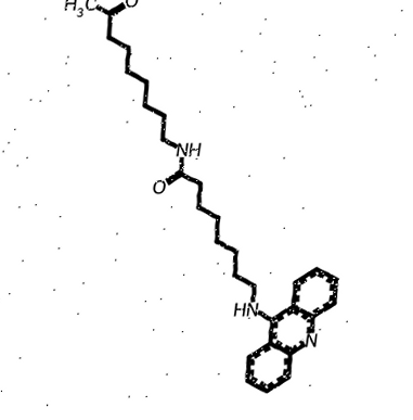 CC(=O)CCCCCCCNC(=O)CCCCCCCNc1c2ccccc2nc2ccccc12